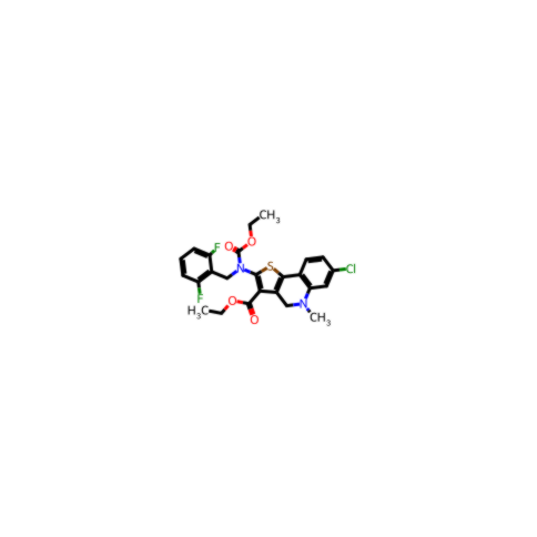 CCOC(=O)c1c(N(Cc2c(F)cccc2F)C(=O)OCC)sc2c1CN(C)c1cc(Cl)ccc1-2